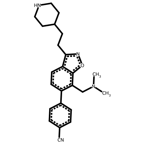 CN(C)Cc1c(-c2ccc(C#N)cc2)ccc2c(CCC3CCNCC3)noc12